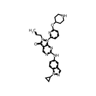 C=CCn1c(=O)c2cnc(Nc3ccc4c(cnn4C4CC4)c3)nc2n1-c1cccc(OC2CCNCC2)n1